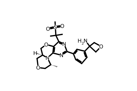 C[C@@H]1COC[C@H]2COc3c(nc(-c4cccc(C5(N)COC5)c4)nc3C(C)(C)S(C)(=O)=O)N21